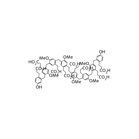 COc1cc(CCc2cc(OC)c(Cc3cc(OC)c(Cc4cc(OC)c(Cc5cc(O)ccc5CCC(=O)O)cc4CCC(=O)O)cc3CCC(=O)O)cc2CCC(=O)O)c(CCC(=O)O)cc1Cc1cc(OC)c(Cc2cc(OC)c(Cc3cc(O)ccc3CCC(=O)O)cc2CCC(=O)O)cc1CCC(=O)O